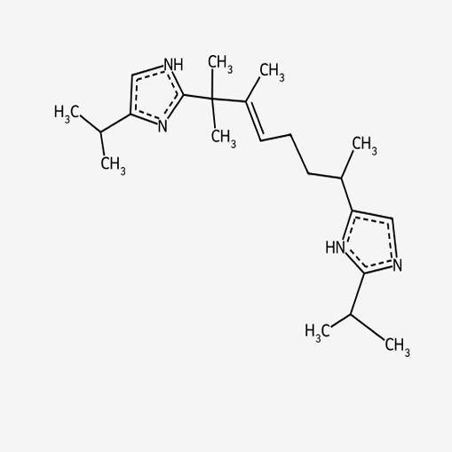 C/C(=C\CCC(C)c1cnc(C(C)C)[nH]1)C(C)(C)c1nc(C(C)C)c[nH]1